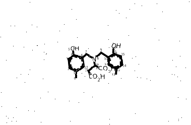 Cc1ccc(O)c(CN(Cc2cc(C)ccc2O)C(CC(=O)O)C(=O)O)c1